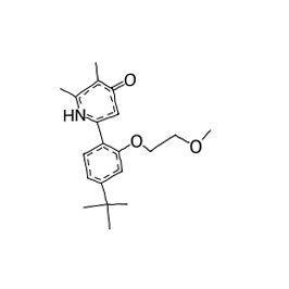 COCCOc1cc(C(C)(C)C)ccc1-c1cc(=O)c(C)c(C)[nH]1